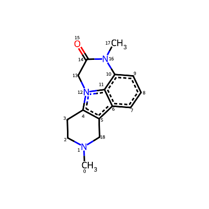 CN1CCc2c(c3cccc4c3n2CC(=O)N4C)C1